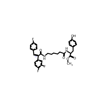 COC(=O)C(Cc1ccc(O)cc1)NC(=O)CCCCCNC(=O)/C(=C\c1ccc(F)cc1)c1ccc(F)c(F)c1